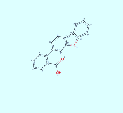 O=C(O)c1ccccc1-c1ccc2c(c1)oc1ccccc12